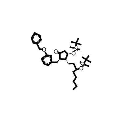 CCCCCC(CC[C@H]1[C@H](O[Si](C)(C)C(C)(C)C)CC(=O)[C@@H]1Cc1cccc(OCc2ccccc2)c1)O[Si](C)(C)C(C)(C)C